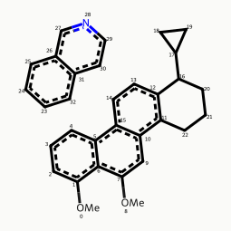 COc1cccc2c1c(OC)cc1c3c(ccc12)C(C1CC1)CCC3.c1ccc2cnccc2c1